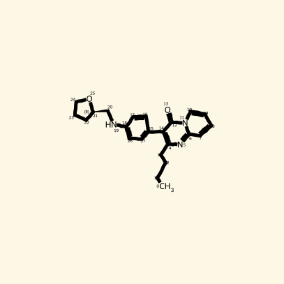 CCCCc1nc2ccccn2c(=O)c1-c1ccc(NC[C@H]2CCCO2)cc1